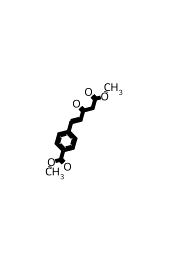 COC(=O)CC(=O)C=Cc1ccc(C(=O)OC)cc1